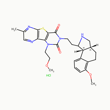 COCCn1c(=O)n(CCC2NC[C@@H]3CCc4c(OC)cccc4[C@H]23)c(=O)c2sc3nc(C)cnc3c21.Cl